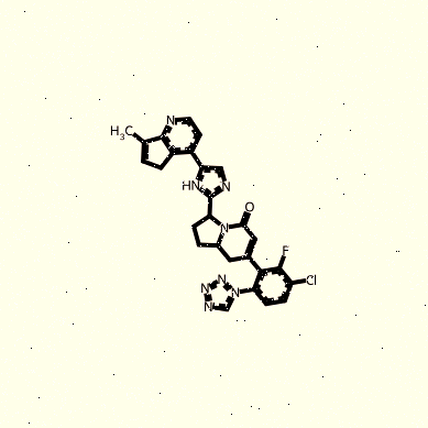 CC1=CCc2c(-c3cnc(C4CCC5CC(c6c(-n7cnnn7)ccc(Cl)c6F)=CC(=O)N54)[nH]3)ccnc21